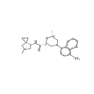 C[C@@H]1CN(c2ccc(C(F)(F)F)c3ncccc23)C[C@H](C(=O)NC2CN(C)CC23CC3)O1